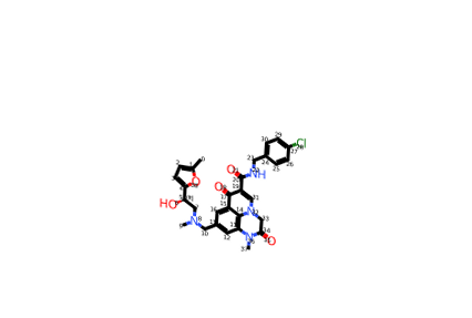 Cc1ccc([C@H](O)CN(C)Cc2cc3c4c(c2)c(=O)c(C(=O)NCc2ccc(Cl)cc2)cn4CC(=O)N3C)o1